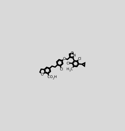 Cc1cc(C2CC2)c(Cl)c(-c2nocc2COc2ccc(CCc3cc4c(c(C(=O)O)c3)OCC4)c(Cl)c2)c1Cl